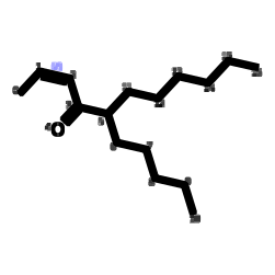 C/C=C\C(=O)C(CCCCC)CCCCCC